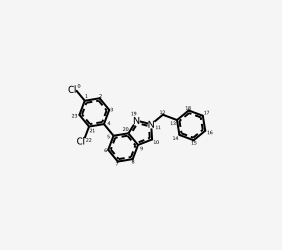 Clc1ccc(-c2cccc3cn(Cc4ccccc4)nc23)c(Cl)c1